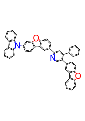 c1ccc(-c2cc(-c3ccc4oc5cc(-n6c7ccccc7c7ccccc76)ccc5c4c3)ncc2-c2ccc3oc4ccccc4c3c2)cc1